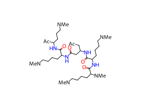 CNCCCCC(NC)C(=O)NC(CCCCNC)C(=O)NC(CC(C)=O)CC(=O)NC(CCCCNC)C(=O)NC(CCCNC)C(C)=O